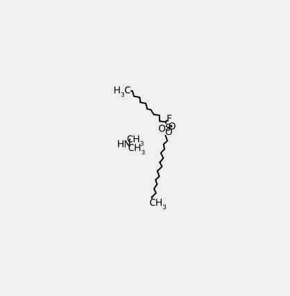 CCCCCCCCCCCCCCCCOS(=O)(=O)C(F)CCCCCCCCCCC.CNC